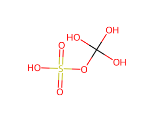 O=S(=O)(O)OC(O)(O)O